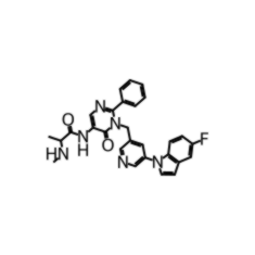 CNC(C)C(=O)Nc1cnc(-c2ccccc2)n(Cc2cncc(-n3ccc4cc(F)ccc43)c2)c1=O